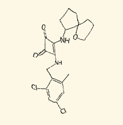 Cc1cc(Cl)cc(Cl)c1CNc1c(NC2CCCC23CCCO3)c(=O)c1=O